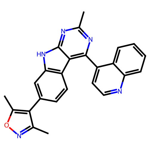 Cc1nc(-c2ccnc3ccccc23)c2c(n1)[nH]c1cc(-c3c(C)noc3C)ccc12